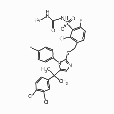 CC(C)NC(=O)NS(=O)(=O)c1c(F)ccc(CSc2ncc(C(C)(C)c3ccc(Cl)c(Cl)c3)n2-c2ccc(F)cc2)c1Cl